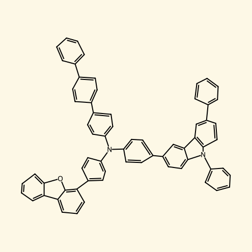 c1ccc(-c2ccc(-c3ccc(N(c4ccc(-c5ccc6c(c5)c5cc(-c7ccccc7)ccc5n6-c5ccccc5)cc4)c4ccc(-c5cccc6c5oc5ccccc56)cc4)cc3)cc2)cc1